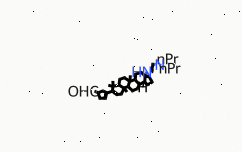 CCCN(CCC)CCNC12CCC[C@@H]1C1CCC3C(C)(CCC4C(C)(C)C(C5=CCC(C=O)C5)=CCC43C)C1CC2